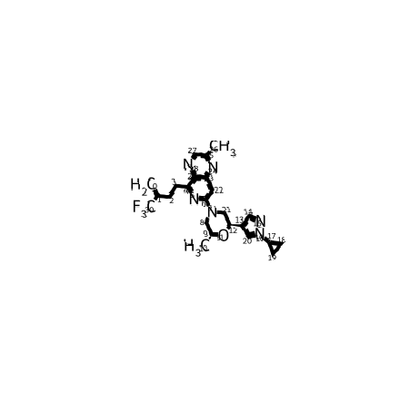 C=C(CCc1nc(N2C[C@@H](C)O[C@H](c3cnn(C4CC4)c3)C2)cc2nc(C)cnc12)C(F)(F)F